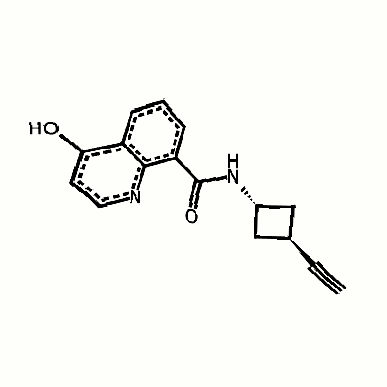 C#C[C@H]1C[C@H](NC(=O)c2cccc3c(O)ccnc23)C1